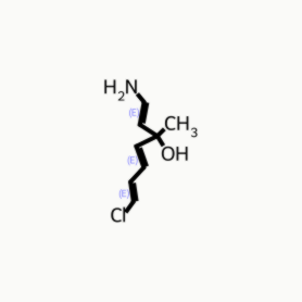 CC(O)(/C=C/N)/C=C/C=C/Cl